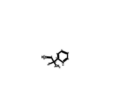 C=CC(C)(F)c1ccccn1